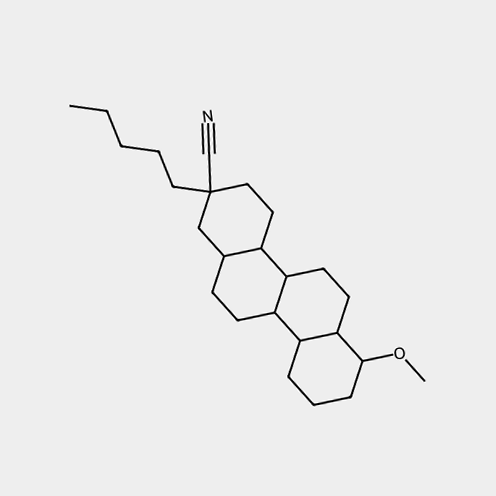 CCCCCC1(C#N)CCC2C(CCC3C2CCC2C(OC)CCCC23)C1